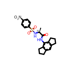 C[C@H](NS(=O)(=O)c1ccc([N+](=O)[O-])cc1)C(=O)Nc1c2c(cc3c1CCC3)CCC2